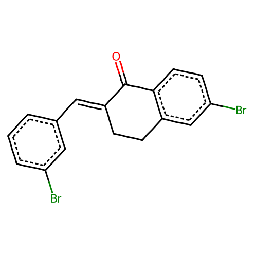 O=C1/C(=C/c2cccc(Br)c2)CCc2cc(Br)ccc21